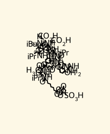 CC[C@H](C)[C@H](NC(=O)[C@H](CCC(=O)O)NC(=O)[C@H](CCC(=O)O)NC(=O)[C@H](Cc1ccccc1)NC(=O)[C@H](CC(C)C)NC(=O)[C@H](CCCNC(=N)N)NC(=O)[C@H](Cc1ccc(O)cc1)NC(=O)CNC(=O)[C@@H](NC(=O)[C@@H](NC(=O)CCCCCCC(=O)ON1C(=O)CC(S(=O)(=O)O)C1=O)C(C)C)[C@@H](C)O)C(=O)C[C@@H](CC(C)C)C(N)=O